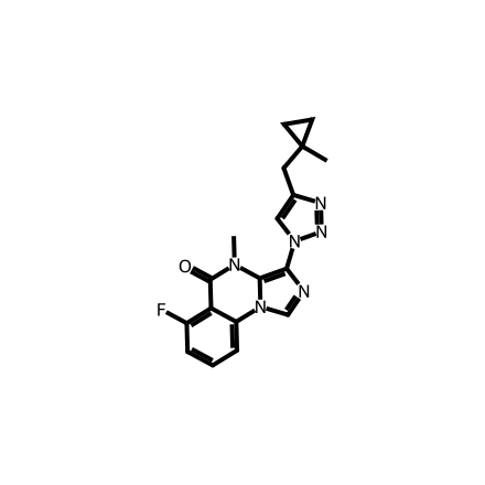 Cn1c(=O)c2c(F)cccc2n2cnc(-n3cc(CC4(C)CC4)nn3)c12